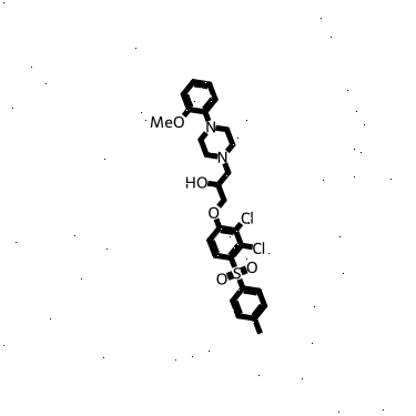 COc1ccccc1N1CCN(CC(O)COc2ccc(S(=O)(=O)c3ccc(C)cc3)c(Cl)c2Cl)CC1